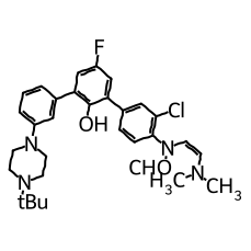 CN(C)/C=C\N(C=O)c1ccc(-c2cc(F)cc(-c3cccc(N4CCN(C(C)(C)C)CC4)c3)c2O)cc1Cl